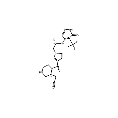 C[C@@H](Cn1ccc(C(=O)N2CCNC[C@@H]2CC#N)c1)Nc1cn[nH]c(=O)c1C(F)(F)F